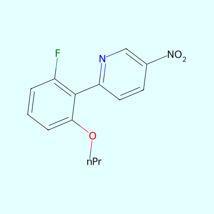 CCCOc1cccc(F)c1-c1ccc([N+](=O)[O-])cn1